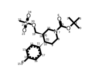 CC(C)(C)OC(=O)N1CC[C@H](c2ccc(F)cc2)[C@@H](COS(C)(=O)=O)C1